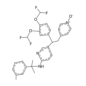 Cc1cccc(C(C)(C)Nc2ccc(C(Cc3cc[n+]([O-])cc3)c3ccc(OC(F)F)c(OC(F)F)c3)cn2)c1